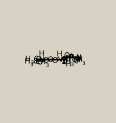 C[C@H](Cc1nncn1C)c1cccc(NC(=O)c2ccc(CNCCOCCOCCOCCNC(=O)OC(C)(C)C)c(C3CC3)n2)c1